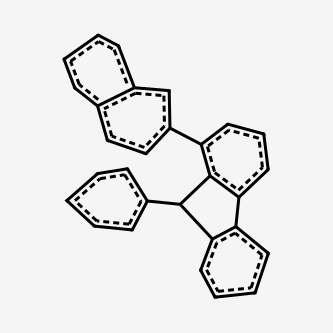 c1ccc(C2c3ccccc3-c3cccc(-c4ccc5ccccc5c4)c32)cc1